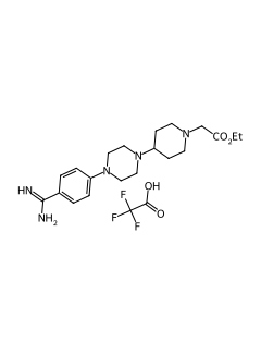 CCOC(=O)CN1CCC(N2CCN(c3ccc(C(=N)N)cc3)CC2)CC1.O=C(O)C(F)(F)F